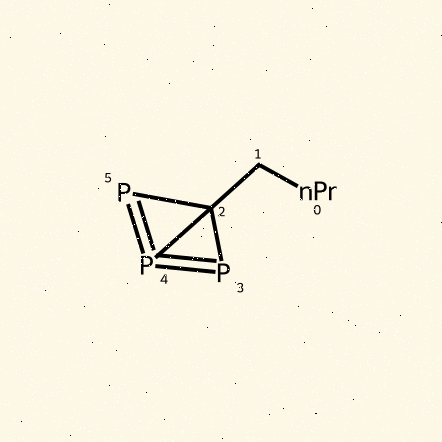 CCCCC12P=P1=P2